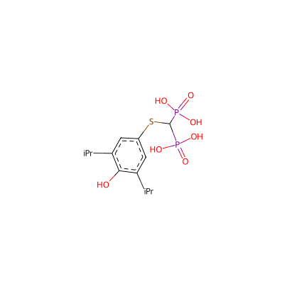 CC(C)c1cc(SC(P(=O)(O)O)P(=O)(O)O)cc(C(C)C)c1O